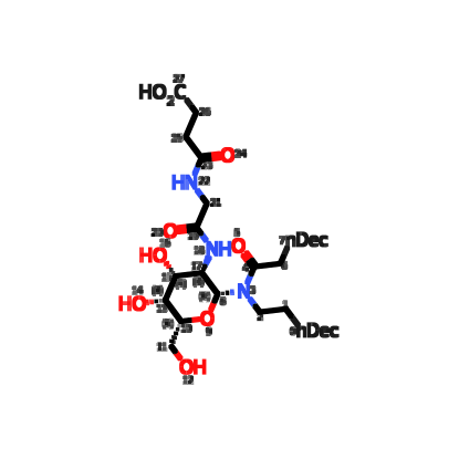 CCCCCCCCCCCCN(C(=O)CCCCCCCCCCC)[C@@H]1O[C@H](CO)[C@H](O)[C@H](O)[C@H]1NC(=O)CNC(=O)CCC(=O)O